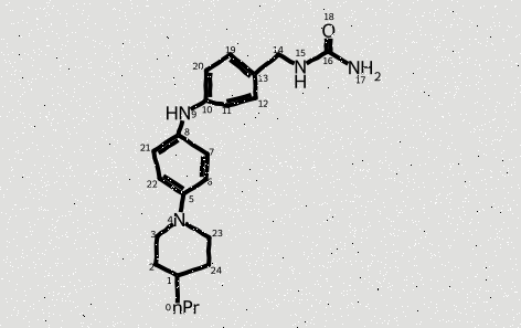 CCCC1CCN(c2ccc(Nc3ccc(CNC(N)=O)cc3)cc2)CC1